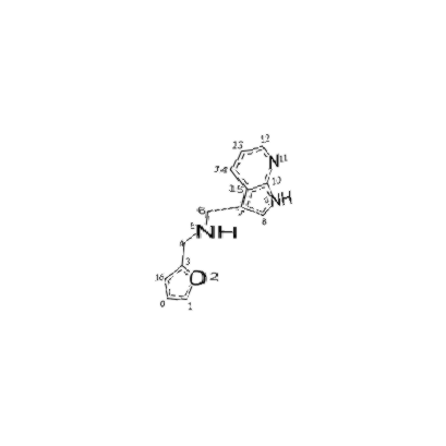 c1coc(CNCc2c[nH]c3ncccc23)c1